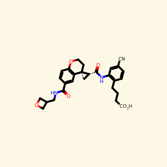 N#Cc1ccc(CCCC(=O)O)c(NC(=O)[C@@H]2C[C@]23CCOc2ccc(C(=O)NCC4COC4)cc23)c1